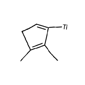 CC1=C(C)[C]([Ti])=CC1